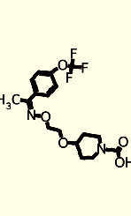 CC(=NOCCOC1CCN(C(=O)O)CC1)c1ccc(OC(F)(F)F)cc1